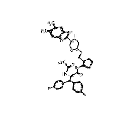 COC(=O)N[C@H](C(=O)Nc1cnccc1CC[C@@H]1CN[C@H](c2nc3cc(C)c(C)cc3[nH]2)CO1)C(c1ccc(F)cc1)c1ccc(F)cc1